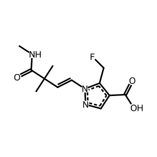 CNC(=O)C(C)(C)/C=C/n1ncc(C(=O)O)c1CF